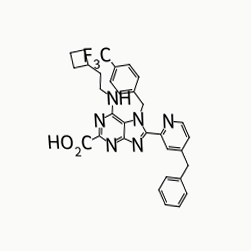 O=C(O)c1nc(NCCC2CCC2)c2c(n1)nc(-c1cc(Cc3ccccc3)ccn1)n2Cc1ccc(C(F)(F)F)cc1